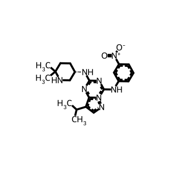 CC(C)c1cnn2c(Nc3cccc([N+](=O)[O-])c3)nc(N[C@H]3CCC(C)(C)NC3)nc12